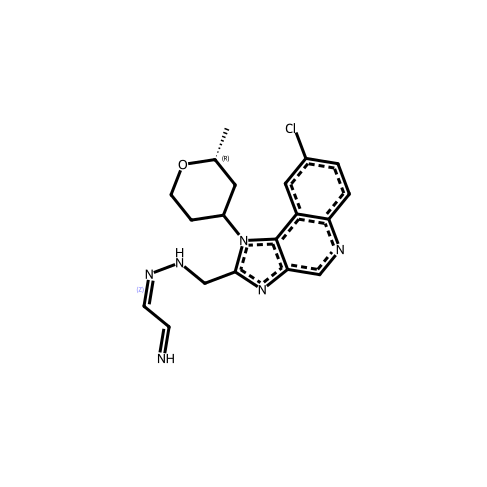 C[C@@H]1CC(n2c(CN/N=C\C=N)nc3cnc4ccc(Cl)cc4c32)CCO1